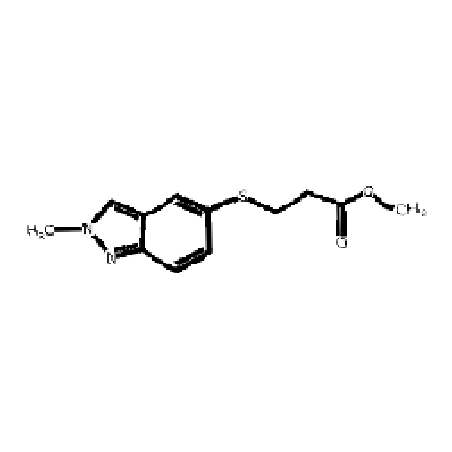 COC(=O)CCSc1ccc2nn(C)cc2c1